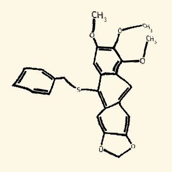 COc1cc2c(SCc3ccccc3)c3cc4c(cc3cc2c(OC)c1OC)OCO4